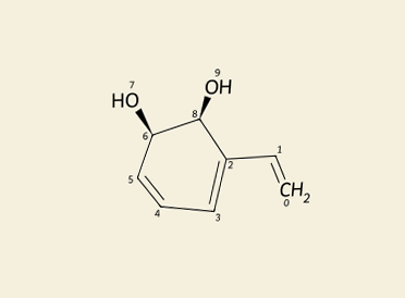 C=CC1=CC=C[C@@H](O)[C@H]1O